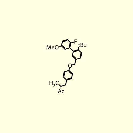 COc1ccc(F)c(-c2cc(COc3ccc(C[C@@H](C)C(C)=O)cc3)ccc2C(C)(C)C)c1